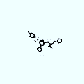 Cc1cc(C(=O)c2c(Cc3ccccc3)oc(C)c2C)cc(-c2ccccc2)c1OS(=O)(=O)c1ccc(C(=O)[O-])c(O)c1.[Na+]